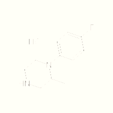 CC1CNCCN1c1ccc(F)cc1.Cl